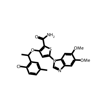 COc1cc2ncn(-c3cc(OC(C)c4cc(C)ccc4Cl)c(C(N)=O)s3)c2cc1OC